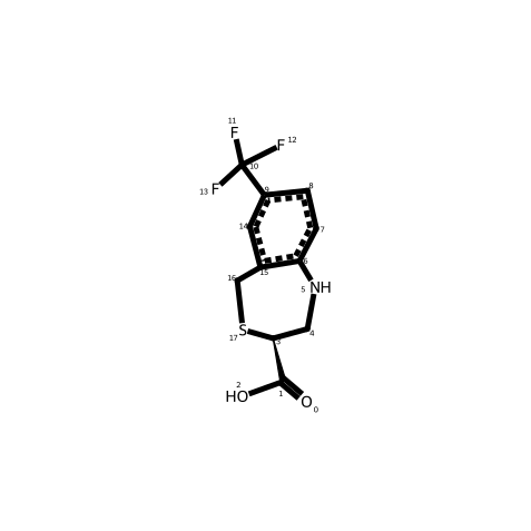 O=C(O)[C@@H]1CNc2ccc(C(F)(F)F)cc2CS1